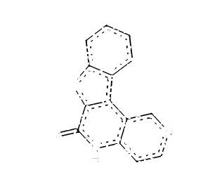 O=c1[nH]c2ccncc2c2c1sc1ccccc12